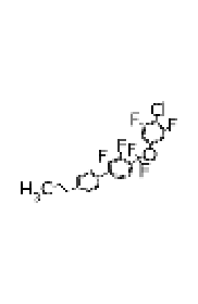 CCCc1ccc(-c2ccc(C(F)(F)Oc3cc(F)c(Cl)c(F)c3)c(F)c2F)cc1